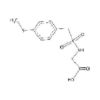 CSc1ccc(CS(=O)(=O)NCC(=O)O)cc1